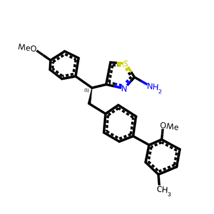 COc1ccc([C@H](Cc2ccc(-c3cc(C)ccc3OC)cc2)c2csc(N)n2)cc1